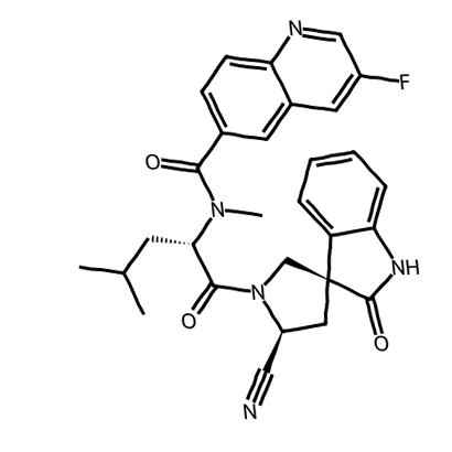 CC(C)C[C@@H](C(=O)N1C[C@]2(C[C@H]1C#N)C(=O)Nc1ccccc12)N(C)C(=O)c1ccc2ncc(F)cc2c1